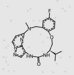 CC(C)[C@@H]1COc2ccc(F)cc2CN(C)c2ccn3ncc(c3n2)NC(=O)N1